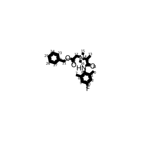 Cc1cc(F)cc(C)c1NC(=O)C(C)[N+](C)(C)CC(=O)OCc1ccccc1